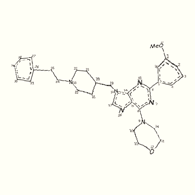 COc1cccc(-c2nc(N3CCOCC3)c3ncn(CC4CCN(CCc5ccccc5)CC4)c3n2)c1